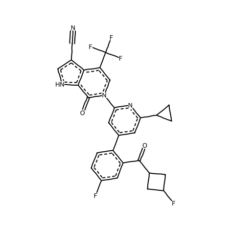 N#Cc1c[nH]c2c(=O)n(-c3cc(-c4ccc(F)cc4C(=O)C4CC(F)C4)cc(C4CC4)n3)cc(C(F)(F)F)c12